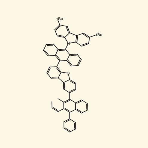 C/C=C\c1c(C)c(-c2ccc3oc4c(-c5c6ccccc6c(-n6c7ccc(C(C)(C)C)cc7c7cc(C(C)(C)C)ccc76)c6ccccc56)cccc4c3c2)c2ccccc2c1-c1ccccc1